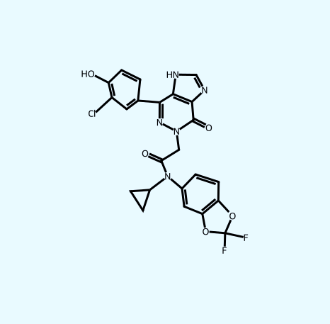 O=C(Cn1nc(-c2ccc(O)c(Cl)c2)c2[nH]cnc2c1=O)N(c1ccc2c(c1)OC(F)(F)O2)C1CC1